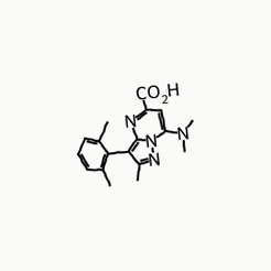 Cc1cccc(C)c1-c1c(C)nn2c(N(C)C)cc(C(=O)O)nc12